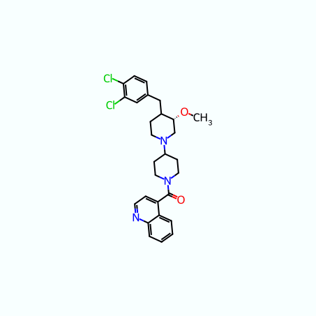 CO[C@@H]1CN(C2CCN(C(=O)c3ccnc4ccccc34)CC2)CCC1Cc1ccc(Cl)c(Cl)c1